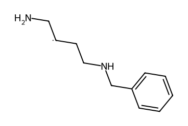 NC[CH]CCNCc1ccccc1